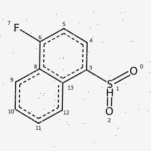 O=[SH](=O)c1ccc(F)c2ccccc12